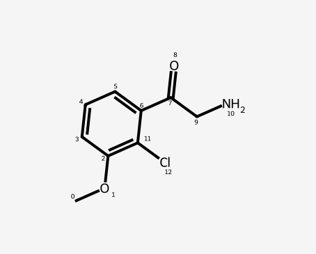 COc1cccc(C(=O)CN)c1Cl